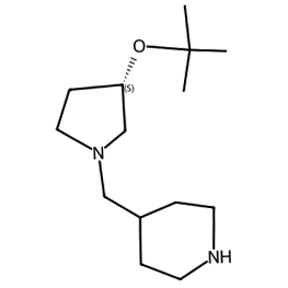 CC(C)(C)O[C@H]1CCN(CC2CCNCC2)C1